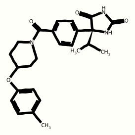 Cc1ccc(OC2CCN(C(=O)c3ccc([C@@]4(C(C)C)NC(=O)NC4=O)cc3)CC2)cc1